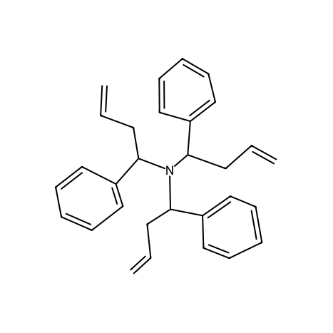 C=CCC(c1ccccc1)N(C(CC=C)c1ccccc1)C(CC=C)c1ccccc1